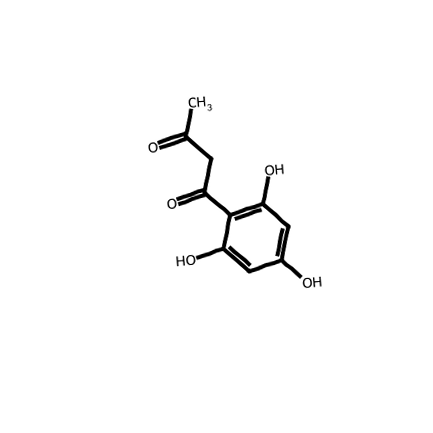 CC(=O)CC(=O)c1c(O)cc(O)cc1O